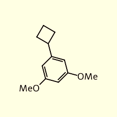 COc1cc(OC)cc(C2CCC2)c1